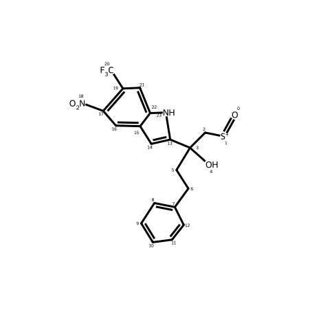 O=[S+]CC(O)(CCc1ccccc1)c1cc2cc([N+](=O)[O-])c(C(F)(F)F)cc2[nH]1